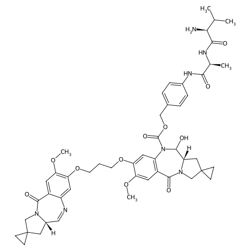 COc1cc2c(cc1OCCCOc1cc3c(cc1OC)C(=O)N1CC4(CC4)C[C@H]1C(O)N3C(=O)OCc1ccc(NC(=O)[C@H](C)NC(=O)[C@@H](N)C(C)C)cc1)N=C[C@@H]1CC3(CC3)CN1C2=O